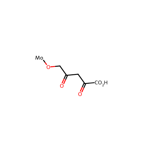 O=C(C[O][Mo])CC(=O)C(=O)O